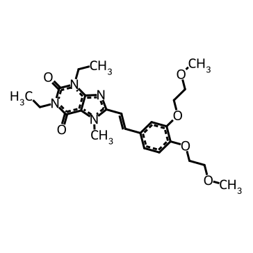 CCn1c(=O)c2c(nc(C=Cc3ccc(OCCOC)c(OCCOC)c3)n2C)n(CC)c1=O